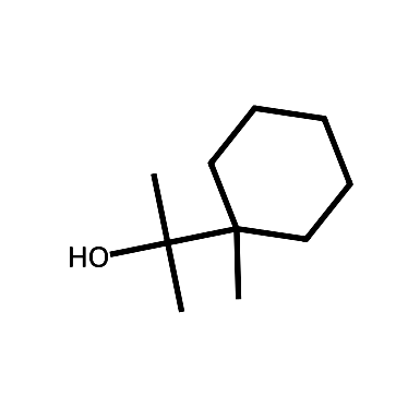 CC(C)(O)C1(C)CCCCC1